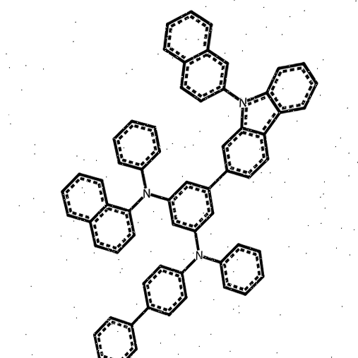 c1ccc(-c2ccc(N(c3ccccc3)c3cc(-c4ccc5c6ccccc6n(-c6ccc7ccccc7c6)c5c4)cc(N(c4ccccc4)c4cccc5ccccc45)c3)cc2)cc1